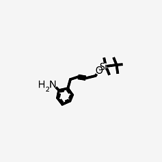 CC(C)(C)[Si](C)(C)OCC#CCc1ccccc1N